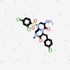 CN1C=C2N(C(=O)C(N)CN2S(=O)(=O)c2ccc(Cl)cc2Cl)C(Cc2ccc(Cl)cc2)C1=O